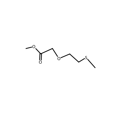 COC(=O)COCCSC